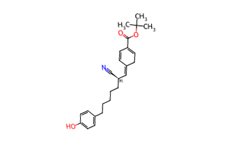 CC(C)(C)OC(=O)C1=CCC(=C[C@H](C#N)CCCCCc2ccc(O)cc2)C=C1